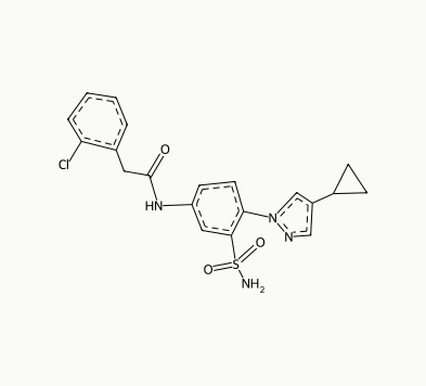 NS(=O)(=O)c1cc(NC(=O)Cc2ccccc2Cl)ccc1-n1cc(C2CC2)cn1